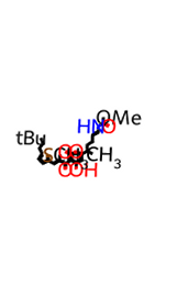 COC(=O)N/C=C/CCC(C)c1cc(O)c(C(=O)/C(C)=C/c2ccc(CCC(C)(C)C)s2)c(=O)o1